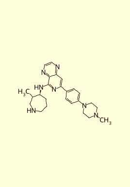 CC1CNCCC[C@@H]1Nc1nc(-c2ccc(N3CCN(C)CC3)cc2)cc2nccnc12